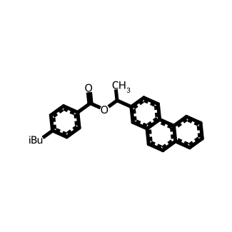 CCC(C)c1ccc(C(=O)OC(C)c2ccc3c(ccc4ccccc43)c2)cc1